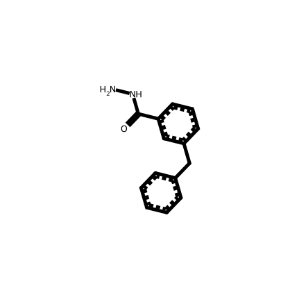 NNC(=O)c1cccc(Cc2ccccc2)c1